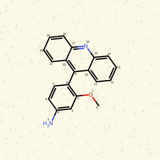 COc1cc(N)ccc1-c1c2ccccc2nc2ccccc12